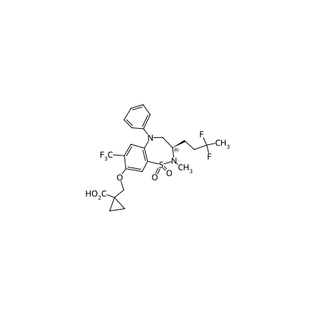 CN1[C@H](CCC(C)(F)F)CN(c2ccccc2)c2cc(C(F)(F)F)c(OCC3(C(=O)O)CC3)cc2S1(=O)=O